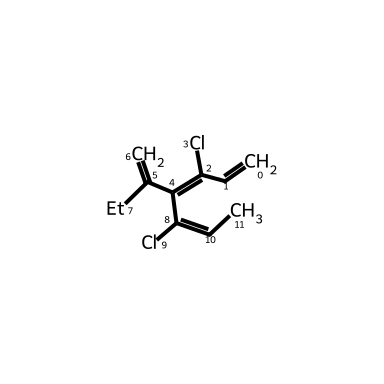 C=C/C(Cl)=C(C(=C)CC)\C(Cl)=C/C